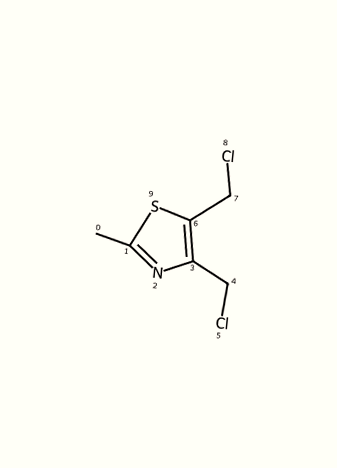 Cc1nc(CCl)c(CCl)s1